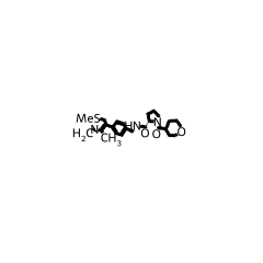 C=N/C(C)=C(\CSC)c1ccc(CNC(=O)[C@@H]2CCCN2C(=O)C2CCCOCC2)cc1